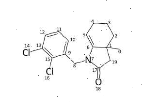 CC12CCCC=C1N(Cc1cccc(Cl)c1Cl)C(=O)C2